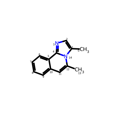 Cc1cnc2c3ccccc3cc(C)n12